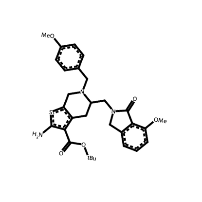 COc1ccc(CN2Cc3sc(N)c(C(=O)OC(C)(C)C)c3CC2CN2Cc3cccc(OC)c3C2=O)cc1